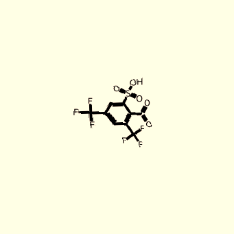 O=I(=O)c1c(C(F)(F)F)cc(C(F)(F)F)cc1S(=O)(=O)O